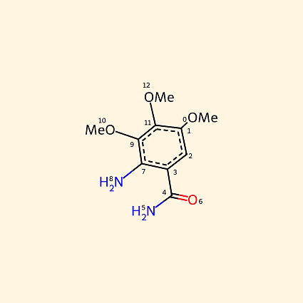 COc1cc(C(N)=O)c(N)c(OC)c1OC